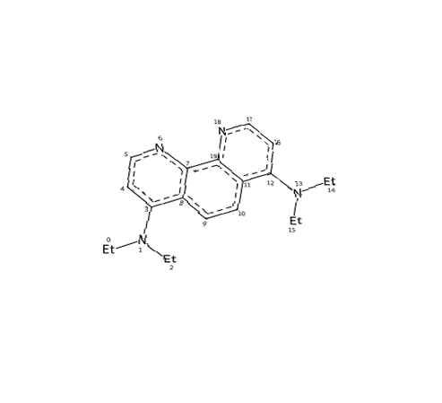 CCN(CC)c1ccnc2c1ccc1c(N(CC)CC)ccnc12